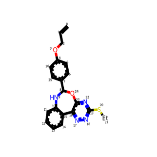 C=CCOc1ccc(C2Nc3ccccc3-c3nnc(SCC)nc3O2)cc1